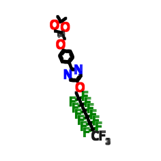 CC1(C)OC[C@H](COc2ccc(-c3ncc(OCC(F)(F)C(F)(F)C(F)(F)C(F)(F)C(F)(F)C(F)(F)C(F)(F)F)cn3)cc2)O1